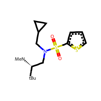 CN[C@H](CN(CC1CC1)S(=O)(=O)c1cccs1)C(C)(C)C